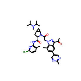 CC(=O)c1nn(CC(=O)N2C3C[C@]3(CN(C(C)C)C(C)C)C[C@H]2C(=O)Nc2nc(Br)ccc2C)c2c(C)cc(-c3cnc(C)nc3)cc12